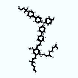 CCCCC(C)(C)C=Cc1cc(OC)c(C=Cc2ccc(-c3ccc(N(c4ccc(C)cc4)c4ccc(-c5ccc(C(C)(C)CCC)cc5)cc4)cc3)cc2)cc1OCCC(C)CCCC(C)C